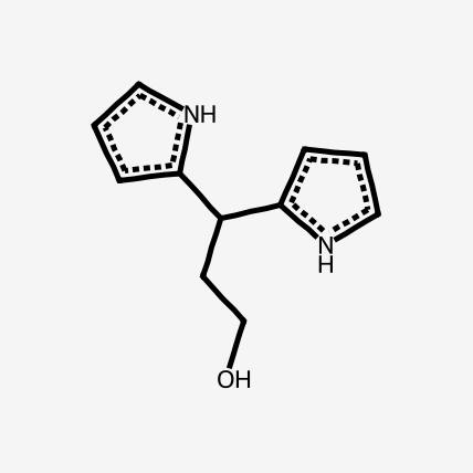 OCCC(c1ccc[nH]1)c1ccc[nH]1